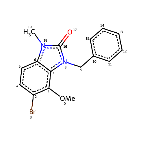 COc1c(Br)ccc2c1n(Cc1ccccc1)c(=O)n2C